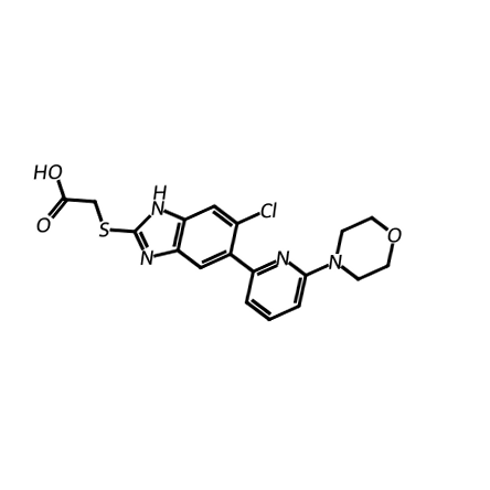 O=C(O)CSc1nc2cc(-c3cccc(N4CCOCC4)n3)c(Cl)cc2[nH]1